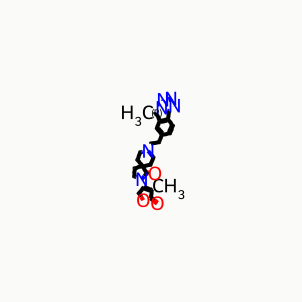 CC1=C(N2CCC3(CCN(CCc4ccc5c(c4)[C@@H](C)n4nnnc4-5)CC3)C2=O)COC1=O